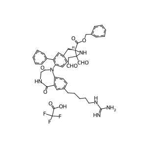 N=C(N)NCCCCCc1ccc2c(c1)C(=O)NCC(=O)N2c1ccc(C[C@@]2(C(=O)OCc3ccccc3)NC2(C=O)CC=O)cc1-c1ccccc1.O=C(O)C(F)(F)F